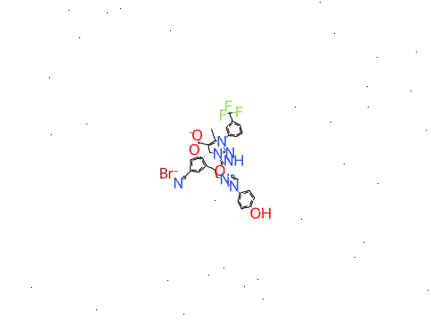 COC(=O)C1=C(C)N(c2cccc(C(F)(F)F)c2)c2n[nH]c(=O)n2[C@@H]1c1ccc(C#N)cc1CC[n+]1ccn(-c2ccc(O)cc2)c1.[Br-]